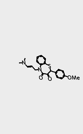 COc1ccc(C2Sc3ccccc3N(CC=CN(C)C)C(=O)C2=O)cc1